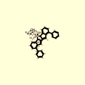 CC1=Cc2c(-c3ccccc3)cccc2[CH]1[Nb]([CH3])([CH3])(=[SiH2])[CH]1C(C)=Cc2c(-c3ccccc3)cccc21.CO.CO